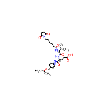 C=C(C)OCc1ccc(NC(=O)[C@H](CCC(=O)O)NC(=O)[C@@H](NC(=O)CCCCCN2C(=O)C=CC2=O)C(C)C)cc1